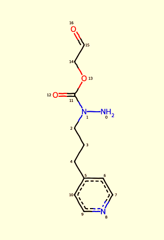 NN(CCCc1ccncc1)C(=O)OCC=O